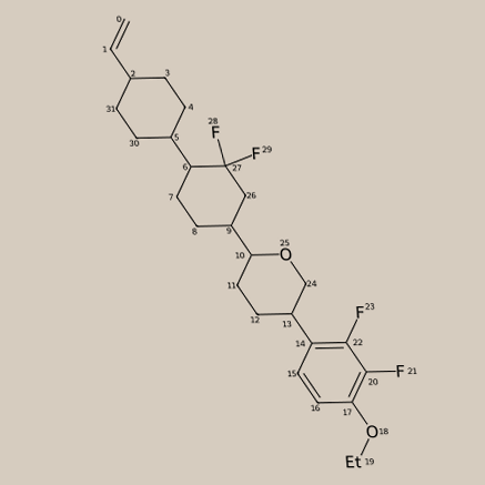 C=CC1CCC(C2CCC(C3CCC(c4ccc(OCC)c(F)c4F)CO3)CC2(F)F)CC1